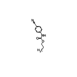 CCCOC(=O)Nc1ccc(C#N)cc1